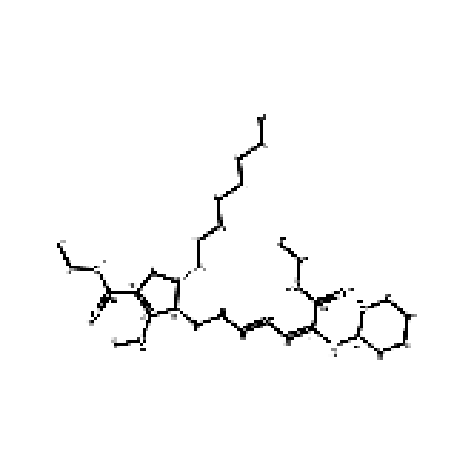 CCCCCCCC[C@H]1CC(C(=O)OCC)=C(OC)[C@@H]1CCC=CC=C(OC1CCCCO1)C(=O)OCC